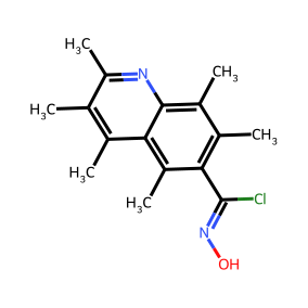 Cc1nc2c(C)c(C)c(C(Cl)=NO)c(C)c2c(C)c1C